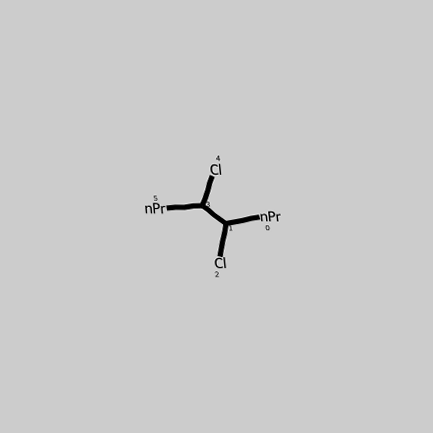 [CH2]CCC(Cl)C(Cl)CCC